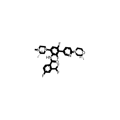 C[C@@H]1CN(c2ccc(-c3c(F)cc(N4CCN(C)[C@@H](C)C4)c(NC(=O)c4ccc(F)cc4C(F)F)c3F)cn2)CCO1